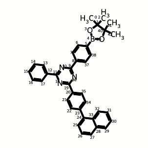 CC1(C)OB(c2ccc(-c3nc(-c4ccccc4)nc(-c4ccc(-c5cccc6ccccc56)cc4)n3)cc2)OC1(C)C